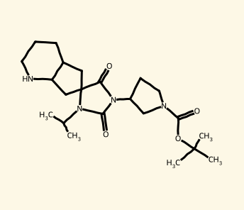 CC(C)N1C(=O)N(C2CCN(C(=O)OC(C)(C)C)C2)C(=O)C12CC1CCCNC1C2